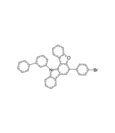 Brc1ccc(-c2cc3c4ccccc4n(-c4cccc(-c5ccccc5)c4)c3c3c2oc2ccccc23)cc1